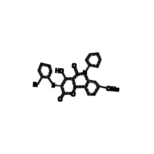 COc1ccc2c3oc(=O)c(Sc4ccccc4Br)c(O)c3c(=O)n(-c3ccccc3)c2c1